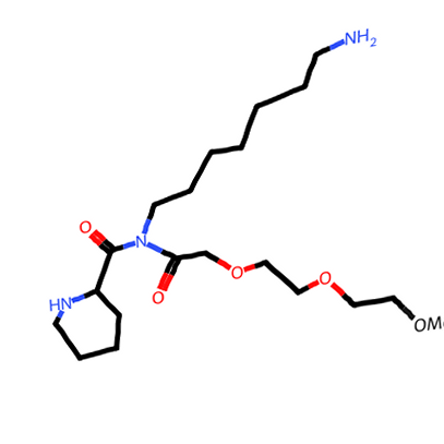 COCCOCCOCC(=O)N(CCCCCCCN)C(=O)C1CCCCN1